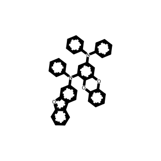 c1ccc(N(c2ccccc2)c2cc3c(c(N(c4ccccc4)c4ccc5c(c4)oc4ccccc45)c2)Oc2ccccc2O3)cc1